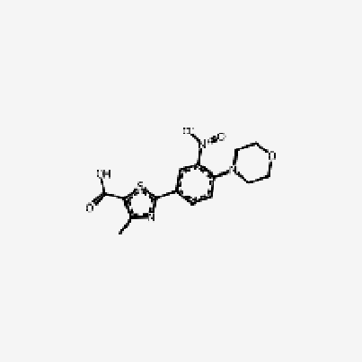 Cc1nc(-c2ccc(N3CCOCC3)c([N+](=O)[O-])c2)sc1C(=O)O